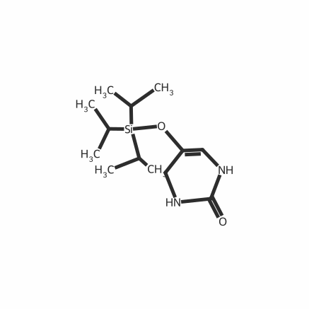 CC(C)[Si](OC1=CNC(=O)NC1)(C(C)C)C(C)C